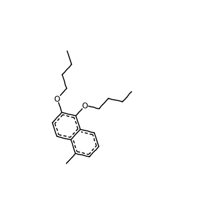 CCCCOc1ccc2c(C)cccc2c1OCCCC